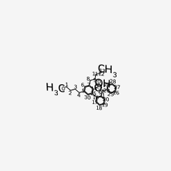 CCCCCc1cc(CC(O)CCC)cc(-c2ccccc2C(=O)c2ccccc2)c1